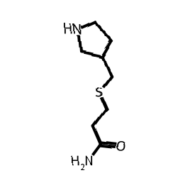 NC(=O)CCSCC1CCNC1